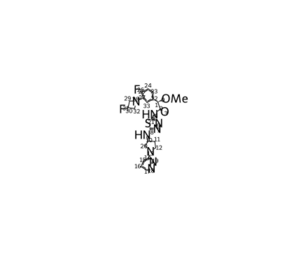 CO[C@@H](C(=O)Nc1nnc(N[C@@H]2CCN(c3cccnn3)C2)s1)c1ccc(F)c(N2CC(F)C2)c1